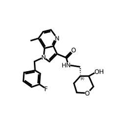 Cc1ccnc2c(C(=O)NC[C@H]3CCOCC3O)cn(Cc3cccc(F)c3)c12